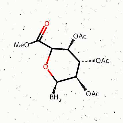 B[C@H]1OC(C(=O)OC)[C@@H](OC(C)=O)[C@H](OC(C)=O)[C@H]1OC(C)=O